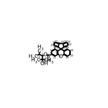 CC(C)C(OBc1ccc2c(c1)Oc1ccccc1C21c2ccccc2-c2ccccc21)C(C)(C)O